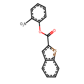 O=C(Oc1ccccc1[N+](=O)[O-])c1cc2ccccc2s1